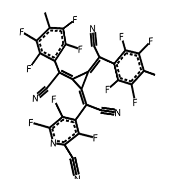 Cc1c(F)c(F)c(/C(C#N)=C2/C(=C(C#N)c3c(F)c(F)nc(C#N)c3F)/C2=C(/C#N)c2c(F)c(F)c(C)c(F)c2F)c(F)c1F